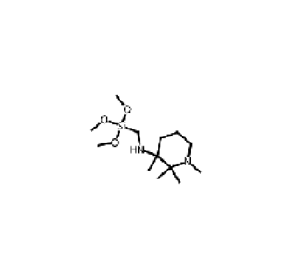 CO[Si](CNC1(C)CCCN(C)C1(C)C)(OC)OC